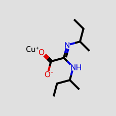 CCC(C)N=C(NC(C)CC)C(=O)[O-].[Cu+]